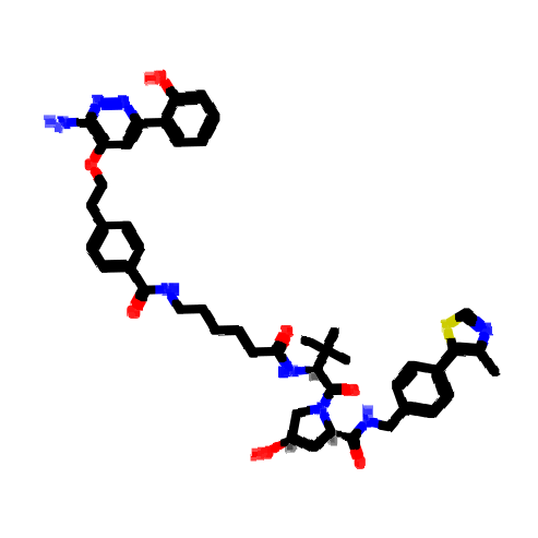 Cc1ncsc1-c1ccc(CNC(=O)[C@@H]2C[C@@H](O)CN2C(=O)[C@@H](NC(=O)CCCCCNC(=O)c2ccc(CCOc3cc(-c4ccccc4O)nnc3N)cc2)C(C)(C)C)cc1